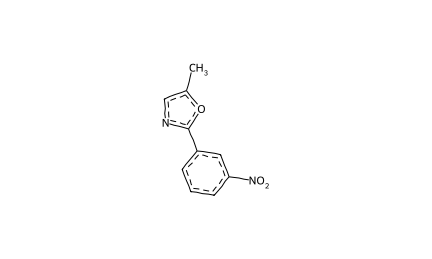 Cc1cnc(-c2cccc([N+](=O)[O-])c2)o1